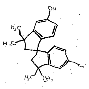 CC1(C)CC2(CC(C)(C)c3cc(O)ccc32)c2ccc(O)cc21